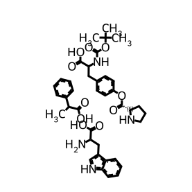 CC(C(=O)O)c1ccccc1.CC(C)(C)OC(=O)NC(Cc1ccc(OC(=O)[C@@H]2CCCN2)cc1)C(=O)O.NC(Cc1c[nH]c2ccccc12)C(=O)O